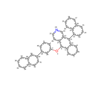 c1cc(Oc2c3ccccc3c(-c3cccc4ccccc34)c3cnccc23)cc(-c2ccc3ccccc3c2)c1